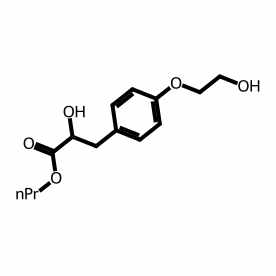 CCCOC(=O)C(O)Cc1ccc(OCCO)cc1